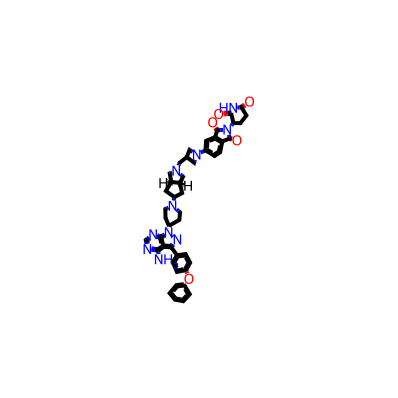 Nc1ncnc2c1c(-c1ccc(Oc3ccccc3)cc1)nn2C1CCN(C2C[C@@H]3CN(CC4CN(c5ccc6c(c5)C(=O)N(C5CCC(=O)NC5=O)C6=O)C4)C[C@@H]3C2)CC1